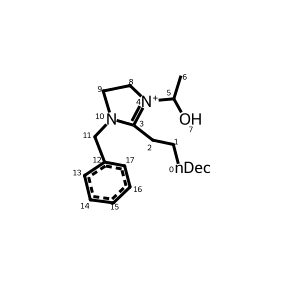 CCCCCCCCCCCCC1=[N+](C(C)O)CCN1Cc1ccccc1